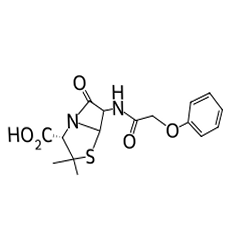 CC1(C)SC2C(NC(=O)COc3ccccc3)C(=O)N2[C@H]1C(=O)O